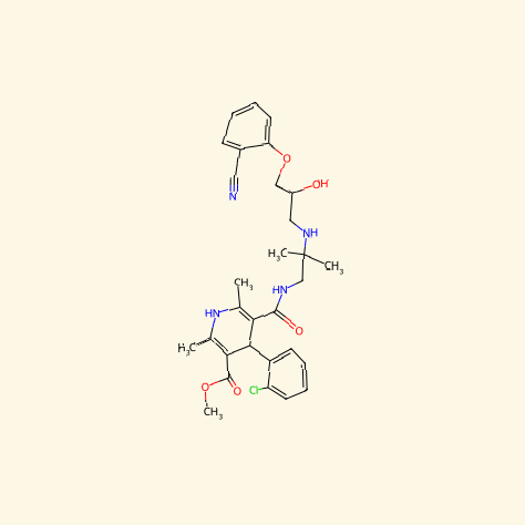 COC(=O)C1=C(C)NC(C)=C(C(=O)NCC(C)(C)NCC(O)COc2ccccc2C#N)C1c1ccccc1Cl